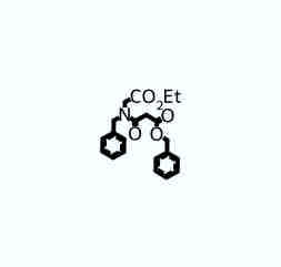 CCOC(=O)CN(Cc1ccccc1)C(=O)CC(=O)OCc1ccccc1